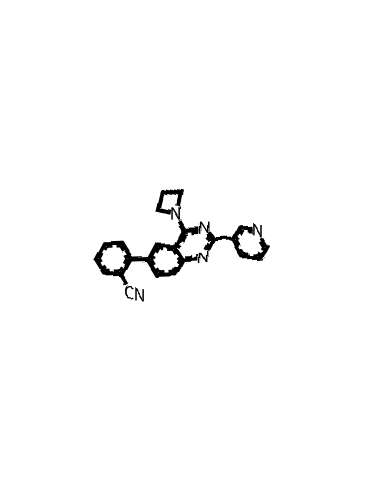 N#Cc1ccccc1-c1ccc2nc(-c3cccnc3)nc(N3CCC3)c2c1